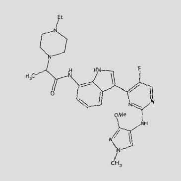 CCN1CCN(C(C)C(=O)Nc2cccc3c(-c4nc(Nc5cn(C)nc5OC)ncc4F)c[nH]c23)CC1